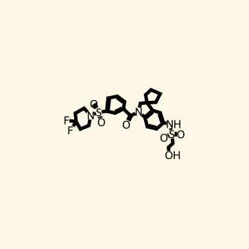 O=C(c1cccc(S(=O)(=O)N2CCC(F)(F)CC2)c1)N1CC2(CCCC2)c2cc(NS(=O)(=O)CCO)ccc21